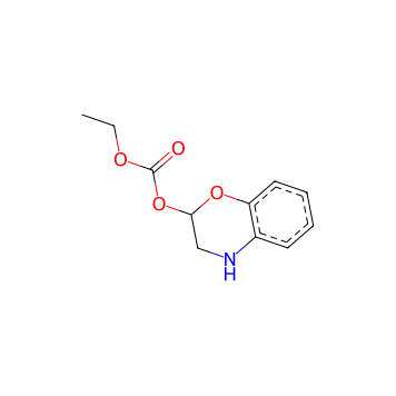 CCOC(=O)OC1CNc2ccccc2O1